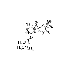 C[Si](C)(C)CCOc1nccc(C(=O)c2ccc(Cl)c(C(=O)O)c2)n1.[NaH]